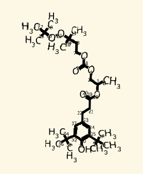 CC(COC(=O)OCCC(C)(C)OOC(C)(C)C)OC(=O)CCc1cc(C(C)(C)C)c(O)c(C(C)(C)C)c1